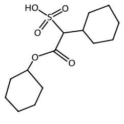 O=C(OC1CCCCC1)C(C1CCCCC1)S(=O)(=O)O